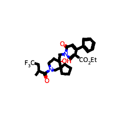 CCOC(=O)c1cn(C[C@]2(O)CCN(C(=O)C(C)CC(F)(F)F)CC23CCCC3)c(=O)cc1-c1ccccc1